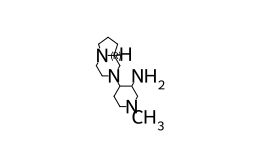 CN1CCC(N2CCN3CCC[C@@H]3C2)C(N)C1